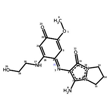 COC1=C/C(=N\c2c(N)n3n(c2=O)CCC3)C(NCCO)=CC1=O